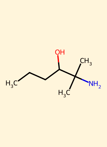 CCCC(O)C(C)(C)N